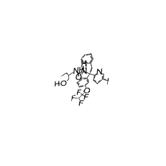 CC[C@H](CO)NC(=O)N[C@@](Cc1ccccc1)(c1cccc(OC(F)(F)C(F)F)c1)c1ccc(I)cn1